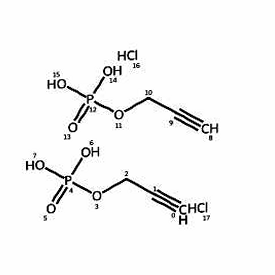 C#CCOP(=O)(O)O.C#CCOP(=O)(O)O.Cl.Cl